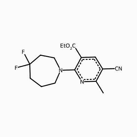 CCOC(=O)c1cc(C#N)c(C)nc1N1CCCC(F)(F)CC1